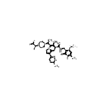 COc1cc(C)[nH]c(=O)c1CNC(=O)c1cc2c(-c3ccc(C)nn3)ccn2c(C(C)N2CCN(C(F)C(F)F)CC2)c1C